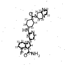 NC(=O)c1cn(-c2ccnc(N[C@H]3CC[C@H](C(=O)N4CCn5ccnc5C4)CC3)n2)c2cccc(F)c12